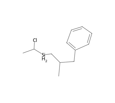 CC(C[SiH2]C(C)Cl)Cc1ccccc1